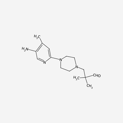 Cc1cc(N2CCN(CC(C)(C)C=O)CC2)ncc1N